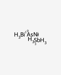 [AsH3].[BiH3].[Ni].[SbH3]